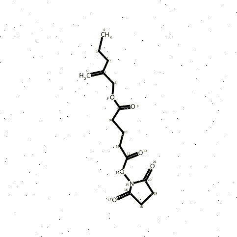 C=C(CCC)COC(=O)CCCC(=O)ON1C(=O)CCC1=O